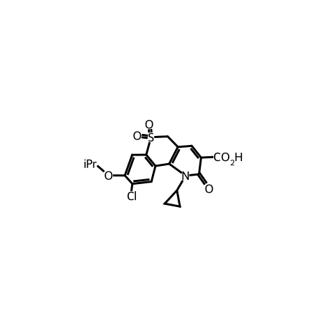 CC(C)Oc1cc2c(cc1Cl)-c1c(cc(C(=O)O)c(=O)n1C1CC1)CS2(=O)=O